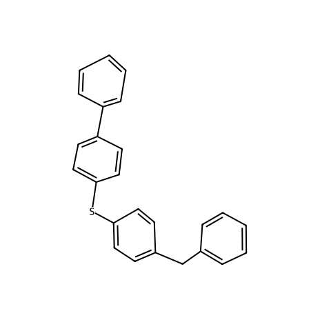 c1ccc(Cc2ccc(Sc3ccc(-c4ccccc4)cc3)cc2)cc1